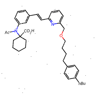 CCCCc1ccc(CCCCOCc2cccc(/C=C/c3cccc(N(C(C)=O)C4(C(=O)O)CCCCC4)c3)n2)cc1